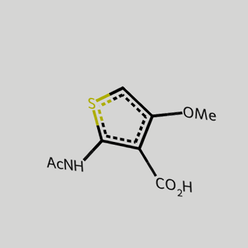 COc1csc(NC(C)=O)c1C(=O)O